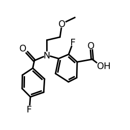 COCCN(C(=O)c1ccc(F)cc1)c1cccc(C(=O)O)c1F